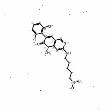 CCN(CC)CCCCCNc1cc2c(cn1)cc(-c1c(Cl)cccc1Cl)c(=O)n2C